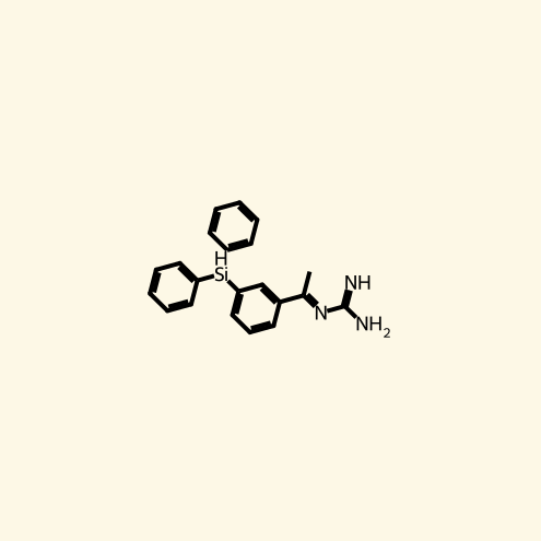 C/C(=N\C(=N)N)c1cccc([SiH](c2ccccc2)c2ccccc2)c1